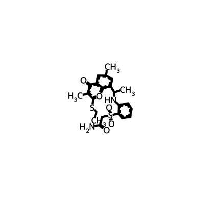 CCSc1oc2c(C(C)Nc3ccccc3S(=O)(=O)CC(N)=O)cc(C)cc2c(=O)c1C